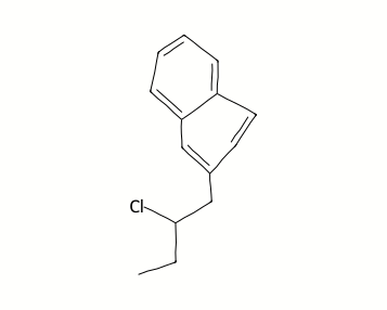 CCC(Cl)Cc1ccc2ccccc2c1